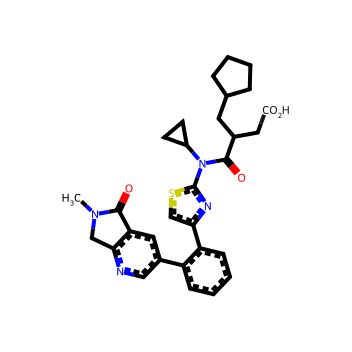 CN1Cc2ncc(-c3ccccc3-c3csc(N(C(=O)C(CC(=O)O)CC4CCCC4)C4CC4)n3)cc2C1=O